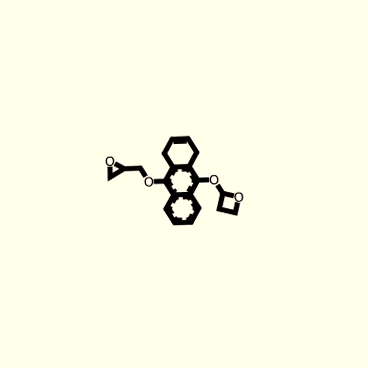 C1=CCc2c(c(OCC3CO3)c3ccccc3c2OC2CCO2)C1